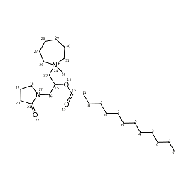 CCCCCCCCCCCCC(=O)OC(CN1CCCC1=O)C[N+]1(C)CCCCCC1